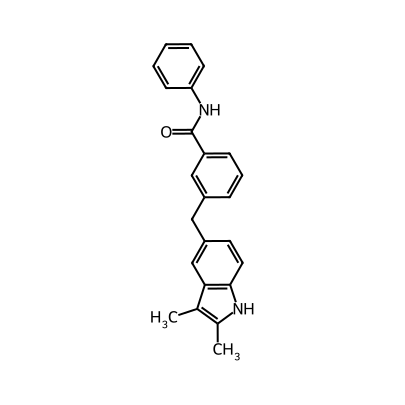 Cc1[nH]c2ccc(Cc3cccc(C(=O)Nc4ccccc4)c3)cc2c1C